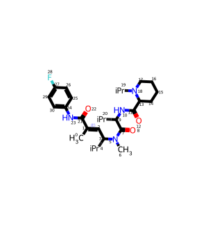 C/C(=C\C(C(C)C)N(C)C(=O)C(NC(=O)C1CCCCN1C(C)C)C(C)C)C(=O)Nc1ccc(F)cc1